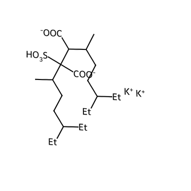 CCC(CC)CCC(C)C(C(=O)[O-])C(C(=O)[O-])(C(C)CCC(CC)CC)S(=O)(=O)O.[K+].[K+]